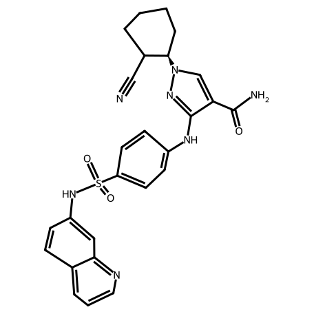 N#CC1CCCC[C@H]1n1cc(C(N)=O)c(Nc2ccc(S(=O)(=O)Nc3ccc4cccnc4c3)cc2)n1